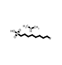 CNC.O=S(=O)(O)CCCCCCCCF